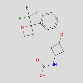 O=C(O)NC1CC(Oc2cccc(C3(C(F)(F)F)CCO3)c2)C1